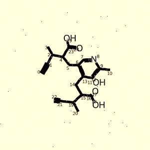 C#CC(C)C(Cc1cnc(C)c(O)c1CC(C(=O)O)C(C)C#C)C(=O)O